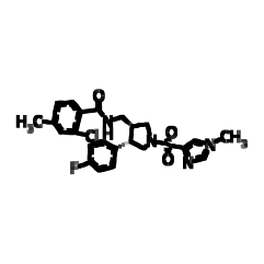 Cc1ccc(C(=O)NC[C@H]2CN(S(=O)(=O)c3cn(C)cn3)C[C@@H]2c2ccc(F)cc2)c(Cl)c1